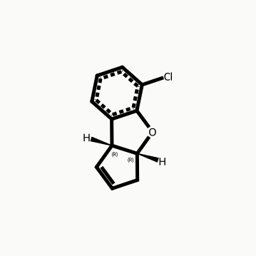 Clc1cccc2c1O[C@@H]1CC=C[C@H]21